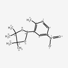 Cc1ncc([N+](=O)[O-])cc1B1OC(C)(C)C(C)(C)O1